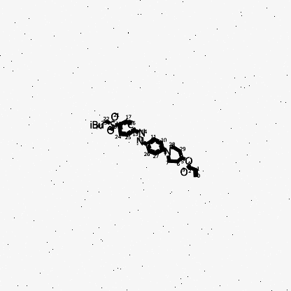 C=CC(=O)OC1CCN(c2ccc(N=Nc3ccc(S(=O)(=O)C[C@H](C)CC)cc3)cc2)CC1